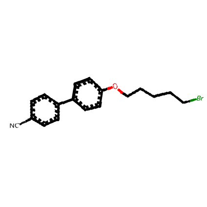 N#Cc1ccc(-c2ccc(OCCCCCBr)cc2)cc1